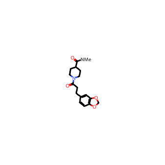 CNC(=O)C1CCN(C(=O)CCc2ccc3c(c2)OCO3)CC1